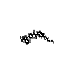 C=CCOCc1ccc2c(C(=O)N[C@H]3CC[C@H](c4n[nH]c(=O)c5ccccc54)CC3)cnn2c1